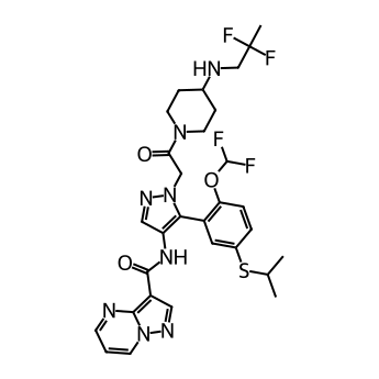 CC(C)Sc1ccc(OC(F)F)c(-c2c(NC(=O)c3cnn4cccnc34)cnn2CC(=O)N2CCC(NCC(C)(F)F)CC2)c1